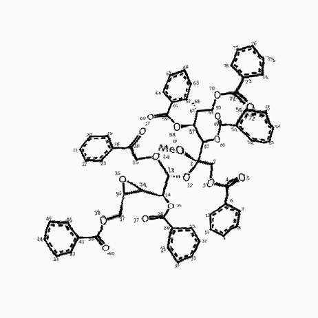 CO[C@@](COC(=O)c1ccccc1)(O[C@@H](OCC(=O)c1ccccc1)[C@@H](OC(=O)c1ccccc1)C1O[C@@H]1COC(=O)c1ccccc1)C(OC(=O)c1ccccc1)[C@@H](OC(=O)c1ccccc1)[C@H](C)COC(=O)c1ccccc1